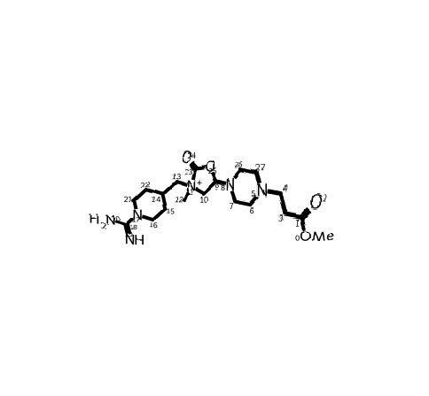 COC(=O)CCN1CCN(C2C[N+](C)(CC3CCN(C(=N)N)CC3)C(=O)O2)CC1